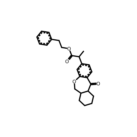 CC(C(=O)OCCc1ccccc1)c1ccc2c(c1)OCC1CCCCC1C2=O